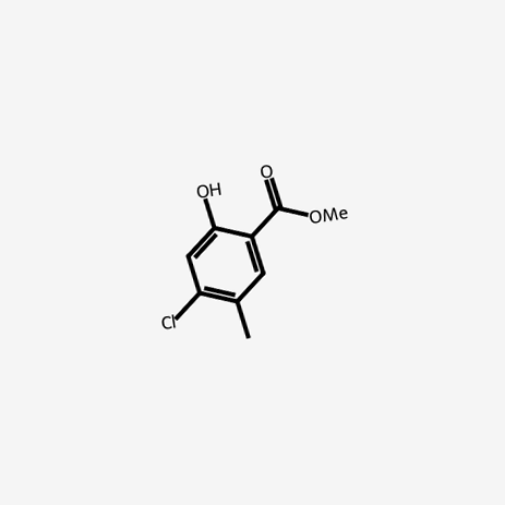 COC(=O)c1cc(C)c(Cl)cc1O